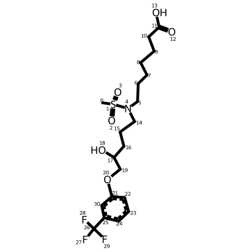 CS(=O)(=O)N(CCCCCCC(=O)O)CCCC(O)COc1cccc(C(F)(F)F)c1